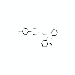 O=C1NC(c2ccccc2)N(CCCN2CCN(c3ccc(Cl)cc3)CC2)c2ccccc21